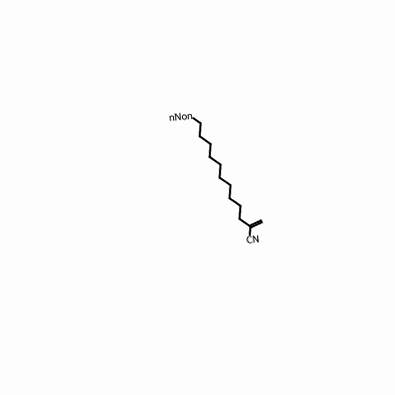 C=C(C#N)CCCCCCCCCCCCCCCCCCC